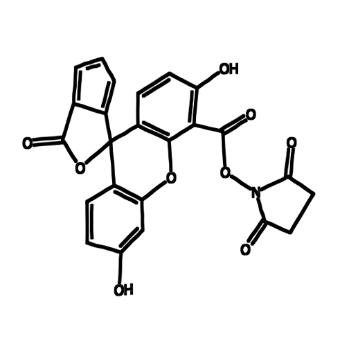 O=C1OC2(c3ccc(O)cc3Oc3c2ccc(O)c3C(=O)ON2C(=O)CCC2=O)c2ccccc21